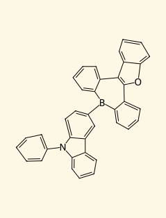 c1ccc(-n2c3ccccc3c3cc(B4c5ccccc5-c5oc6ccccc6c5-c5ccccc54)ccc32)cc1